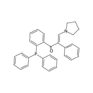 O=C(/C(=C/N1CCCC1)c1ccccc1)c1ccccc1P(c1ccccc1)c1ccccc1